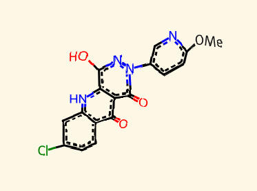 COc1ccc(-n2nc(O)c3[nH]c4cc(Cl)ccc4c(=O)c3c2=O)cn1